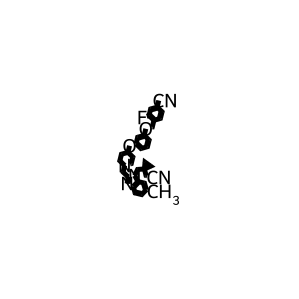 Cc1ccc2nc(CN3CCC(Oc4cccc(OCc5ccc(C#N)cc5F)c4)CC3)n(CC3(CC#N)CC3)c2c1